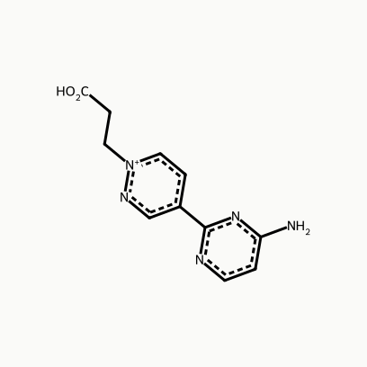 Nc1ccnc(-c2cc[n+](CCC(=O)O)nc2)n1